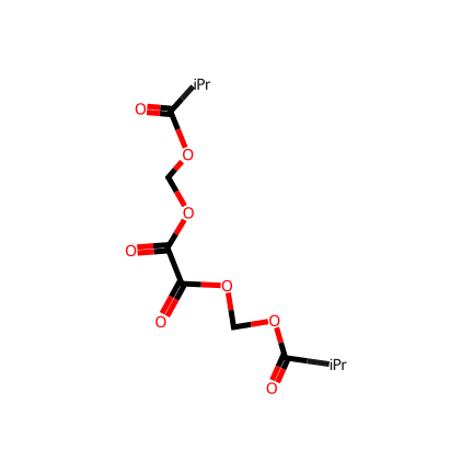 CC(C)C(=O)OCOC(=O)C(=O)OCOC(=O)C(C)C